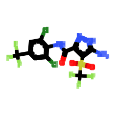 Nc1[nH]nc(C(=O)Nc2c(Cl)cc(C(F)(F)F)cc2Cl)c1S(=O)(=O)C(F)(F)F